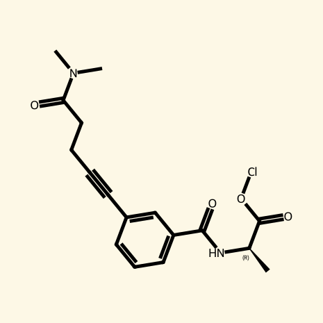 C[C@@H](NC(=O)c1cccc(C#CCCC(=O)N(C)C)c1)C(=O)OCl